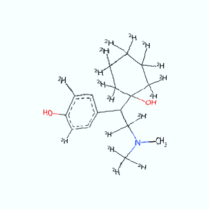 [2H]c1cc(C(C([2H])([2H])N(C)C([2H])([2H])[2H])C2(O)C([2H])([2H])C([2H])([2H])C([2H])([2H])C([2H])([2H])C2([2H])[2H])cc([2H])c1O